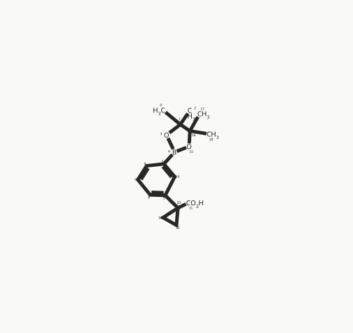 CC1(C)OB(c2cccc(C3(C(=O)O)CC3)c2)OC1(C)C